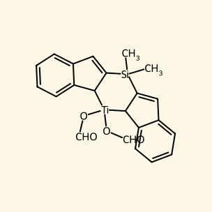 C[Si]1(C)C2=Cc3ccccc3[CH]2[Ti]([O]C=O)([O]C=O)[CH]2C1=Cc1ccccc12